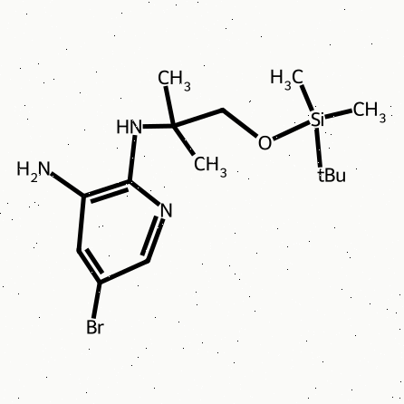 CC(C)(CO[Si](C)(C)C(C)(C)C)Nc1ncc(Br)cc1N